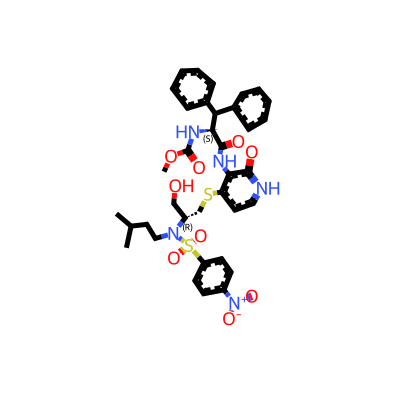 COC(=O)N[C@H](C(=O)Nc1c(SC[C@@H](CO)N(CCC(C)C)S(=O)(=O)c2ccc([N+](=O)[O-])cc2)cc[nH]c1=O)C(c1ccccc1)c1ccccc1